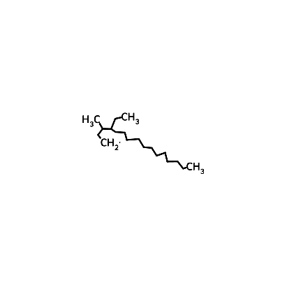 [CH2]CC(C)C(CC)CCCCCCCCCCCC